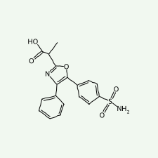 CC(C(=O)O)c1nc(-c2ccccc2)c(-c2ccc(S(N)(=O)=O)cc2)o1